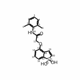 Cc1cccc(C)c1NC(=O)COc1cccc2c1C=CS2(O)O